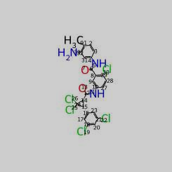 Cc1ccc(NC(=O)c2cc(NC(=O)[C@H]3[C@H](c4cc(Cl)cc(Cl)c4)C3(Cl)Cl)ccc2Cl)cc1N